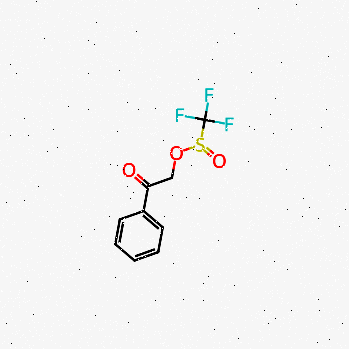 O=C(COS(=O)C(F)(F)F)c1ccccc1